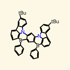 CC(C)(C)c1ccc2c(c1)c1cccc3c1n2-c1cc2c(cc1B3c1ccccc1)B(c1ccccc1)c1cccc3c4cc(C(C)(C)C)ccc4n-2c13